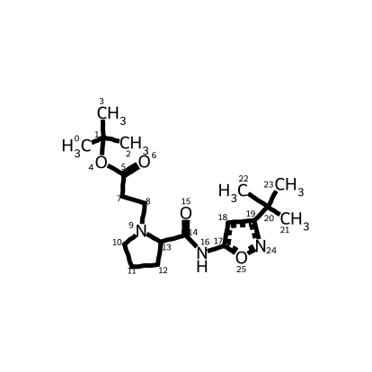 CC(C)(C)OC(=O)CCN1CCCC1C(=O)Nc1cc(C(C)(C)C)no1